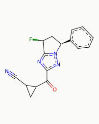 N#CC1CC1C(=O)c1nc2n(n1)[C@H](c1ccccc1)C[C@@H]2F